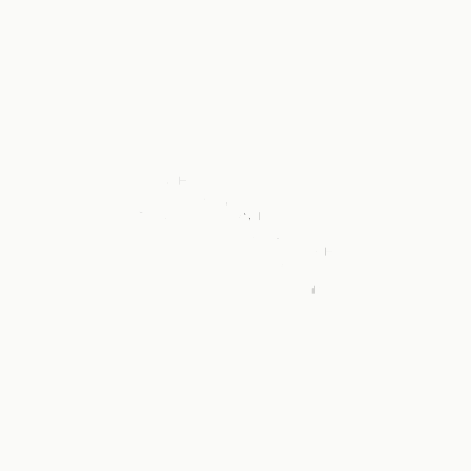 CC(C)CC(C)C#CNC/C=C/C(C)C(C)C